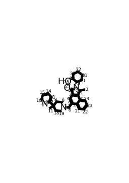 CC1c2c(cc(CN3CCC(C)(c4ccccn4)CC3)c3ccccc23)C(=O)N1[C@H]1CCCC[C@@H]1O